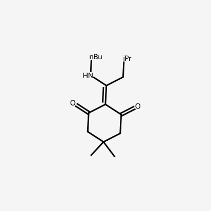 CCCCNC(CC(C)C)=C1C(=O)CC(C)(C)CC1=O